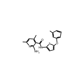 Cc1cccc(Oc2ccc(NC(=O)c3c(C)cc(C)nc3N)s2)c1